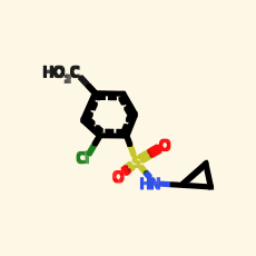 O=C(O)c1ccc(S(=O)(=O)NC2CC2)c(Cl)c1